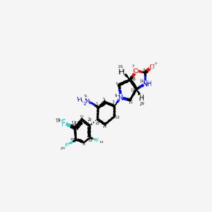 NC1C[C@@H](N2C[C@@H]3OC(=O)N[C@@H]3C2)CC[C@@H]1c1cc(F)c(F)cc1F